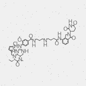 CC[C@@H]1C(=O)N(C)C2CNC(Nc3ccc(C(=O)NCCCNCCCC(=O)Nc4cccc5c4CN(C4CCC(=O)NC4=O)C5=O)cc3OC)NC2N1Cc1ccc(Cl)s1